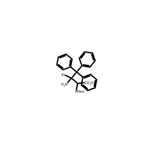 CCCCCC(C(=O)O)C(N)(CC)C(c1ccccc1)(c1ccccc1)c1ccccc1